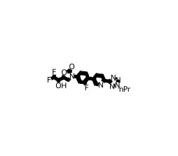 CCCn1nnc(-c2ccc(-c3ccc(N4CC(C(O)C(F)F)OC4=O)cc3F)cn2)n1